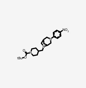 CC(C)(C)OC(=O)N1CCC(CN2CC3CC2CN(c2ccc([N+](=O)[O-])cc2)C3)CC1